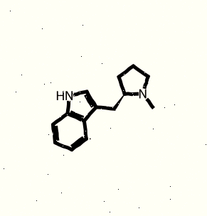 CN1CCC[C@@H]1Cc1c[nH]c2ccc[c]c12